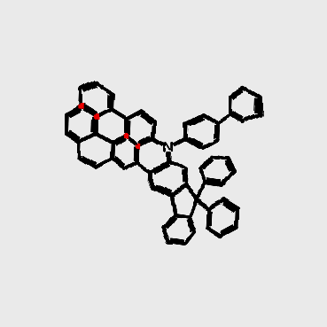 c1ccc(-c2ccc(N(c3ccc(-c4ccccc4)cc3)c3cc4c(cc3-c3ccc5c(ccc6ccccc65)c3)-c3ccccc3C4(c3ccccc3)c3ccccc3)cc2)cc1